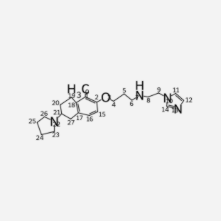 Cc1c(OCCCNCCn2ccnc2)ccc2c1CCC(N1CCCC1)C2